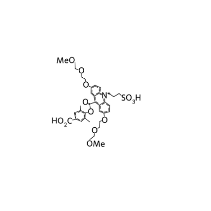 COCCOCCOc1ccc2c(c1)c(C(=O)Oc1c(C)cc(C(=O)O)cc1C)c1cc(OCCOCCOC)ccc1[n+]2CCCS(=O)(=O)O